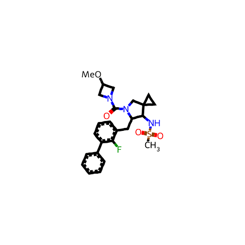 COC1CN(C(=O)N2CC3(CC3)C(NS(C)(=O)=O)C2Cc2cccc(-c3ccccc3)c2F)C1